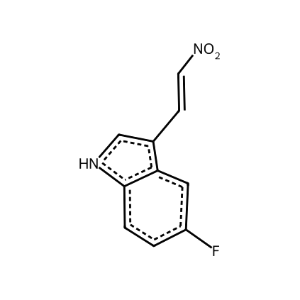 O=[N+]([O-])C=Cc1c[nH]c2ccc(F)cc12